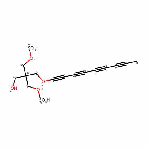 CC#CC#CC#CC#COCC(CO)(COS(=O)(=O)O)COS(=O)(=O)O